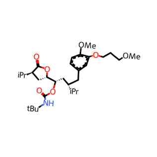 COCCCOc1cc(C[C@@H](C[C@H](OC(=O)NC(C)(C)C)[C@@H]2C[C@@H](C(C)C)C(=O)O2)C(C)C)ccc1OC